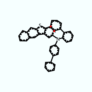 c1ccc(-c2ccc(N(c3cc4c(cn3)sc3cc5ccccc5cc34)c3ccccc3-c3ccccc3)cc2)cc1